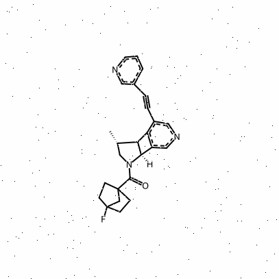 C[C@H]1CN(C(=O)C23CCC(F)(CC2)C3)[C@@H]2c3cncc(C#Cc4cccnc4)c3C21